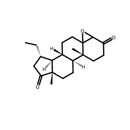 CC[C@H]1CC(=O)[C@@]2(C)CC[C@H]3[C@@H](CCC45OC4C(=O)CC[C@]35C)[C@H]12